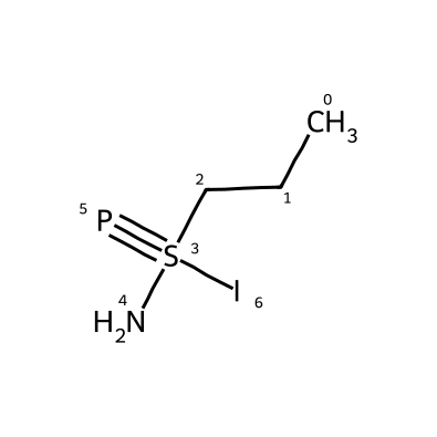 CCCS(N)(#P)I